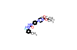 Cc1ccc(F)c(NC(=O)Nc2ccc(N3CCN(C(=O)OC(C)(C)C)CC3)cc2)c1